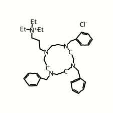 CC[N+](CC)(CC)CCCN1CCN(Cc2ccccc2)CCN(Cc2ccccc2)CCN(Cc2ccccc2)CC1.[Cl-]